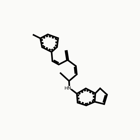 C=C(/C=C\c1cccc(C)c1)/C=C\C(C)Nc1ccc2c(c1)CC=C2